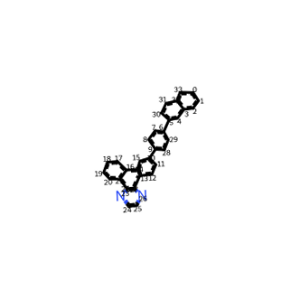 c1ccc2cc(-c3ccc(-c4ccc5c(c4)c4ccccc4c4nccnc54)cc3)ccc2c1